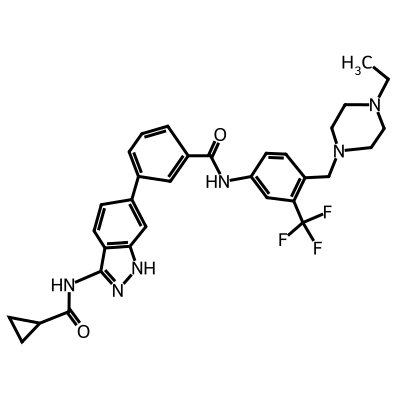 CCN1CCN(Cc2ccc(NC(=O)c3cccc(-c4ccc5c(NC(=O)C6CC6)n[nH]c5c4)c3)cc2C(F)(F)F)CC1